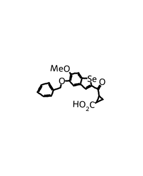 COc1cc2[se]c(C(=O)C3CC3C(=O)O)cc2cc1OCc1ccccc1